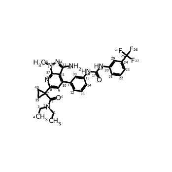 CCN(CC)C(=O)C1(c2cc(-c3cccc(NC(=O)Nc4cccc(C(F)(F)F)c4)c3)c3c(N)nn(C)c3n2)CC1